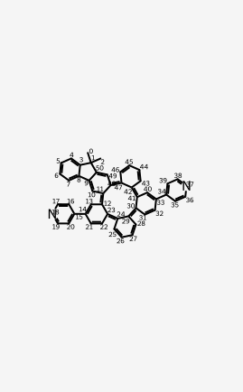 CC1(C)c2ccccc2-c2cc3c4cc(-c5ccncc5)ccc4c4ccccc4c4ccc(-c5ccncc5)cc4c4ccccc4c3cc21